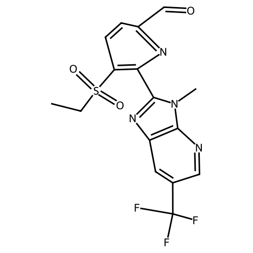 CCS(=O)(=O)c1ccc(C=O)nc1-c1nc2cc(C(F)(F)F)cnc2n1C